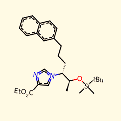 CCOC(=O)c1cn([C@H](CCCc2ccc3ccccc3c2)[C@H](C)O[Si](C)(C)C(C)(C)C)cn1